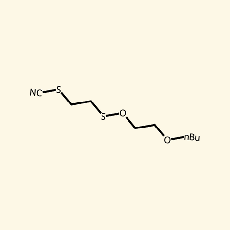 CCCCOCCOSCCSC#N